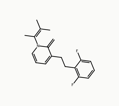 C=C1C(CCc2c(F)cccc2F)=CC=CN1C(C)=C(C)C